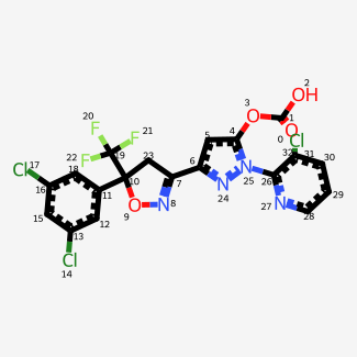 O=C(O)Oc1cc(C2=NOC(c3cc(Cl)cc(Cl)c3)(C(F)(F)F)C2)nn1-c1ncccc1Cl